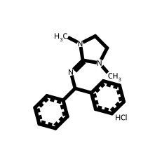 CN1CCN(C)C1=NC(c1ccccc1)c1ccccc1.Cl